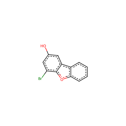 Oc1cc(Br)c2oc3ccccc3c2c1